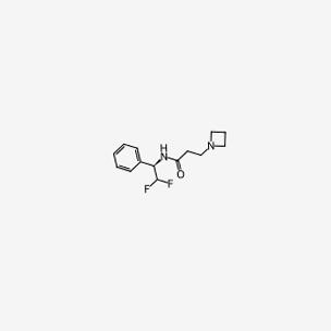 O=C(CCN1CCC1)N[C@H](c1ccccc1)C(F)F